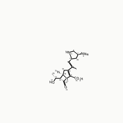 CN[C@@H]1CN[C@H](C=C(C)C2=C(C(=O)O)N3C(=O)[C@H]([C@@H](C)O)[C@H]3C2)C1